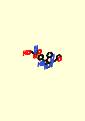 O=S(=O)(NCCO)c1ccc(-c2[nH]c3ncnc(NCC4CCCO4)c3c2-c2ccccc2)cc1